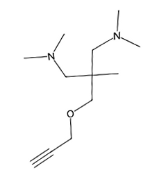 C#CCOCC(C)(CN(C)C)CN(C)C